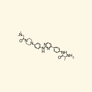 CC(N)C(=O)Nc1ccc(-c2ccnc(Nc3ccc(N4CCN(C(=O)CN(C)C)CC4)cc3)n2)cc1